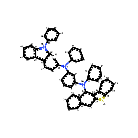 c1ccc(N(c2cccc(N(c3ccccc3)c3c4ccccc4cc4sc5ccccc5c34)c2)c2ccc3c4ccccc4n(-c4ccccc4)c3c2)cc1